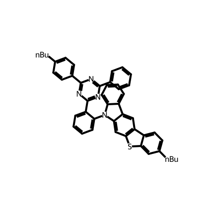 CCCCc1ccc(-c2nc(-c3ccccc3)nc(-c3ccccc3-n3c4ccccc4c4cc5c(cc43)sc3cc(CCCC)ccc35)n2)cc1